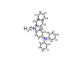 Cn1c2ccc(N(c3ccccc3)c3ccccc3)cc2c2cc3ccccc3cc21